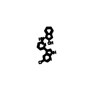 O[C@@H]1Cc2ccccc2[C@@H]1Nc1cccc(-c2c[nH]c3ncc(Cl)cc23)n1